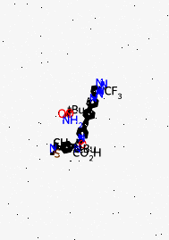 CC(C)(C)OC(N)=O.Cc1ncsc1-c1ccc([C@H](CC(=O)N2CCC(C#Cc3ccc(C4CCN(C5=Nn6c(nnc6C(F)(F)F)CC5)CC4)cc3)CC2)N(C(=O)O)C(C)(C)C)cc1